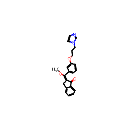 COC(=C1Cc2ccccc2C1=O)c1cccc(OCCCn2ccnc2)c1